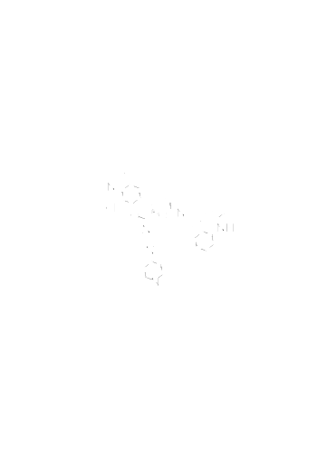 Nc1c(Cl)cc(C[C@@H](OC(=O)N2CCC3(CC2)OC(=O)Nc2ccccc23)C(=O)N2CCN(c3ccncc3)CC2)cc1C(F)(F)F